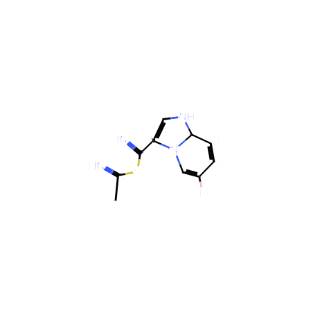 BC1=CN2C(C(=N)SC(C)=N)=CNC2C=C1